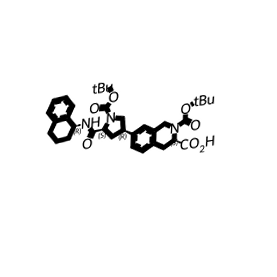 CC(C)(C)OC(=O)N1Cc2cc([C@H]3C[C@@H](C(=O)N[C@@H]4CCCc5ccccc54)N(C(=O)OC(C)(C)C)C3)ccc2C[C@H]1C(=O)O